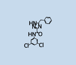 O=C(Nc1cc(Cl)cc(Cl)c1)c1n[nH]c(Cc2ccccc2)n1